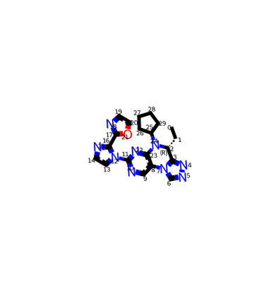 CC[C@@H]1c2nncn2-c2cnc(-n3ccnc3-c3ncco3)nc2N1C1CCCC1